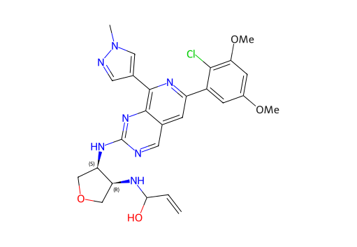 C=CC(O)N[C@H]1COC[C@H]1Nc1ncc2cc(-c3cc(OC)cc(OC)c3Cl)nc(-c3cnn(C)c3)c2n1